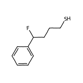 FC(CCCS)c1ccccc1